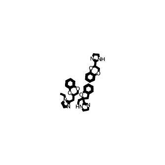 CCC1(C2=NCCN2)Cc2ccccc2O1.CCn1ccnc1CC1COc2ccccc2O1.c1ccc2c(c1)OCC(C1=NCCN1)O2